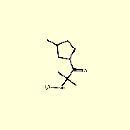 BNC(C)(C)C(=O)C1CCC(C)C1